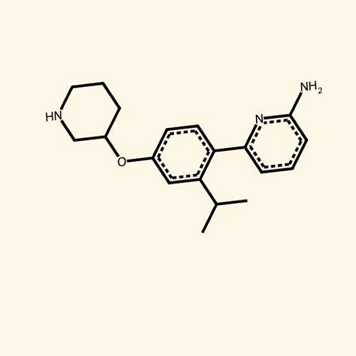 CC(C)c1cc(OC2CCCNC2)ccc1-c1cccc(N)n1